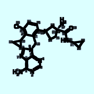 Nc1ncnc2c1ncn2Cc1c(N2CC[C@](N)(C(=O)NC3CC3)C2)ccc(Cl)c1C1CC1